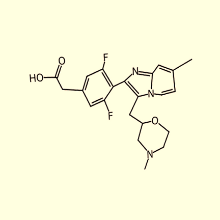 Cc1ccn2c(CC3CN(C)CCO3)c(-c3c(F)cc(CC(=O)O)cc3F)nc2c1